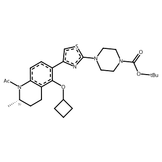 CC(=O)N1c2ccc(-c3csc(N4CCN(C(=O)OC(C)(C)C)CC4)n3)c(OC3CCC3)c2CC[C@@H]1C